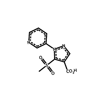 CS(=O)(=O)c1c(C(=O)O)cnn1-c1cccnc1